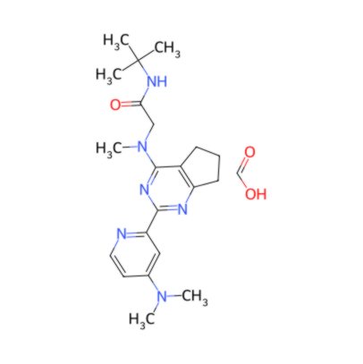 CN(C)c1ccnc(-c2nc3c(c(N(C)CC(=O)NC(C)(C)C)n2)CCC3)c1.O=CO